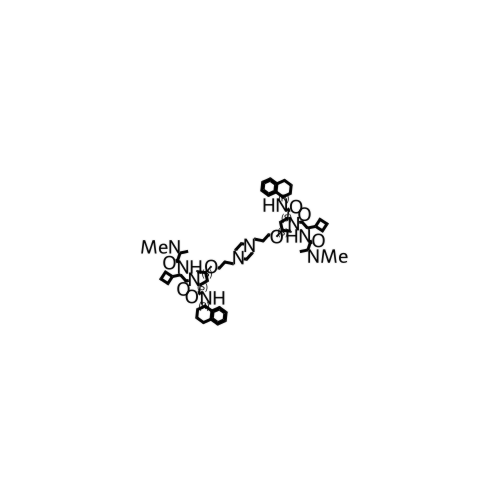 CNC(C)C(=O)NC(C(=O)N1C[C@@H](OCCCN2CCN(CCCO[C@H]3C[C@@H](C(=O)N[C@@H]4CCCc5ccccc54)N(C(=O)C(NC(=O)C(C)NC)C4CCC4)C3)CC2)C[C@H]1C(=O)N[C@@H]1CCCc2ccccc21)C1CCC1